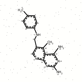 Cc1ccc(NCc2cnc3nc(N)nc(N)c3c2C)cc1